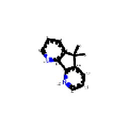 CC1(C)c2cccnc2-c2ncccc21